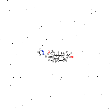 C[C@]12CC[C@H]3[C@@H](CC[C@H]4C[C@@](O)(CF)CC[C@@H]43)[C@@H]1CC[C@@H]2C(=O)Cn1cccn1